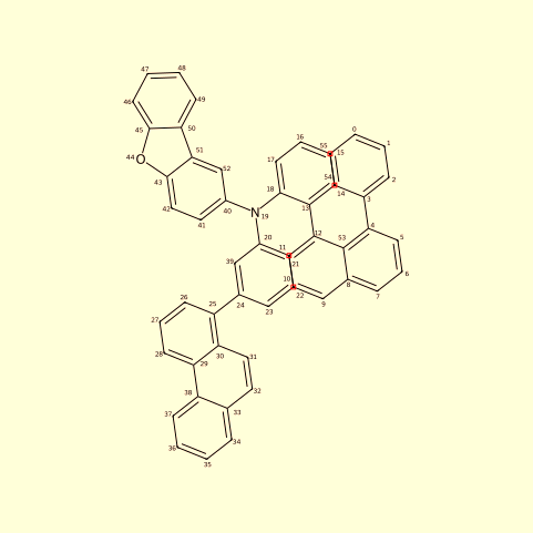 c1ccc(-c2cccc3cccc(-c4ccccc4N(c4cccc(-c5cccc6c5ccc5ccccc56)c4)c4ccc5oc6ccccc6c5c4)c23)cc1